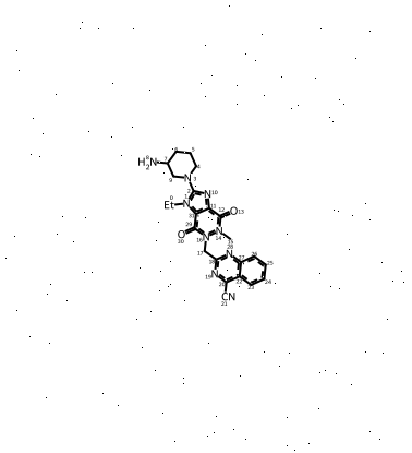 CCn1c(N2CCCC(N)C2)nc2c(=O)n(C)n(Cc3nc(C#N)c4ccccc4n3)c(=O)c21